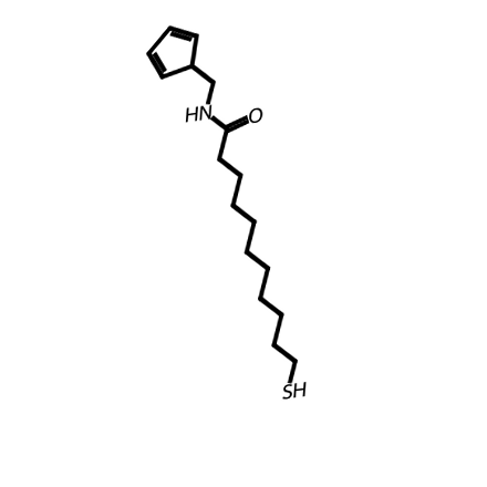 O=C(CCCCCCCCCCS)NCC1C=CC=C1